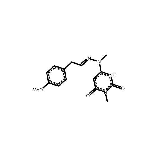 COc1ccc(C/C=N/N(C)c2cc(=O)n(C)c(=O)[nH]2)cc1